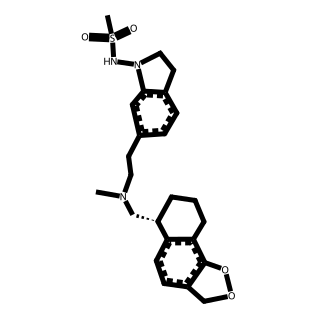 CN(CCc1ccc2c(c1)N(NS(C)(=O)=O)CC2)C[C@@H]1CCCc2c1ccc1c2OOC1